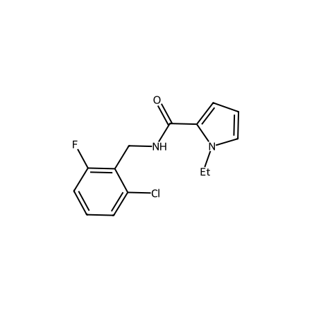 CCn1cccc1C(=O)NCc1c(F)cccc1Cl